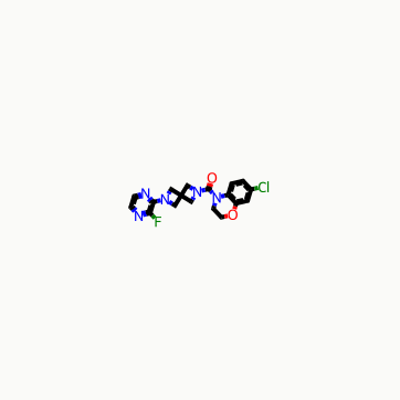 O=C(N1CC2(C1)CN(c1nccnc1F)C2)N1CCOc2cc(Cl)ccc21